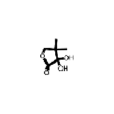 CC1(C)COC(=O)C1(O)O